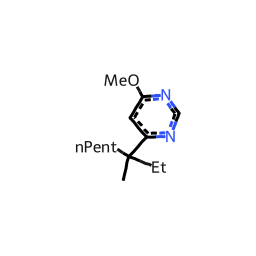 CCCCCC(C)(CC)c1cc(OC)ncn1